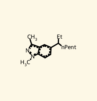 CCCCCC(CC)c1ccc2c(c1)c(C)nn2C